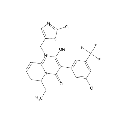 CCC1CC=Cc2n1c(=O)c(-c1cc(Cl)cc(C(F)(F)F)c1)c(O)[n+]2Cc1cnc(Cl)s1